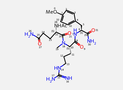 COc1ccc(C[C@H](NC(=O)[C@H](CCCNC(=N)N)N(C)C(=O)[C@H](CCC(N)=O)NC(C)=O)C(N)=O)cc1